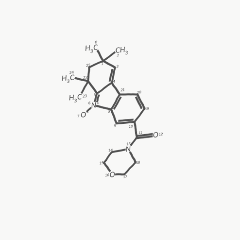 CC1(C)C=C2C(=[N+]([O-])c3cc(C(=O)N4CCOCC4)ccc32)C(C)(C)C1